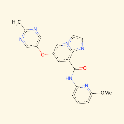 COc1cccc(NC(=O)c2cc(Oc3cnc(C)nc3)cn3ccnc23)n1